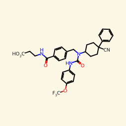 N#CC1(c2ccccc2)CCC(N(Cc2ccc(C(=O)NCCC(=O)O)cc2)C(=O)Nc2ccc(OC(F)(F)F)cc2)CC1